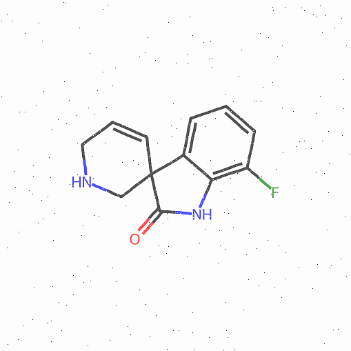 O=C1Nc2c(F)cccc2C12C=CCNC2